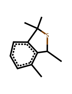 Cc1cccc2c1C(C)SC2(C)C